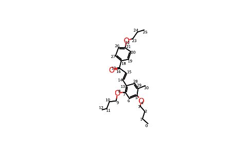 CCCCOc1cc(OCCCC)c(C=CC(=O)c2ccc(OCCC)cc2)cc1C